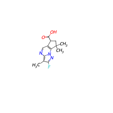 Cc1c(F)nn2c3c(cnc12)C(C(=O)O)CC3(C)C